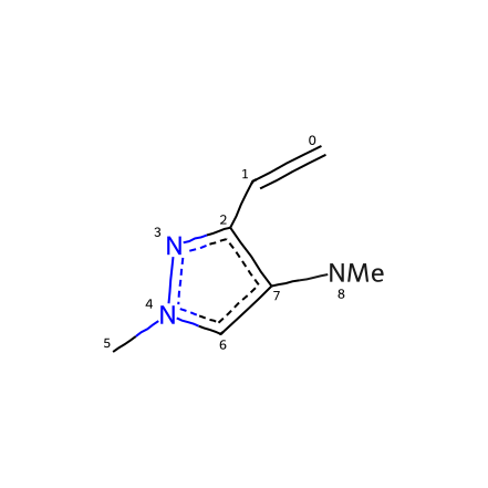 C=Cc1nn(C)cc1NC